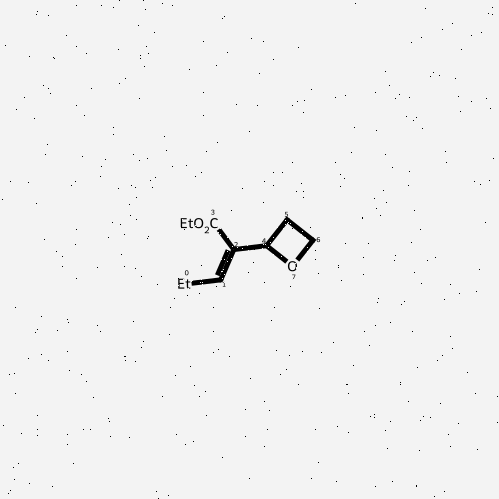 CCC=C(C(=O)OCC)C1CCO1